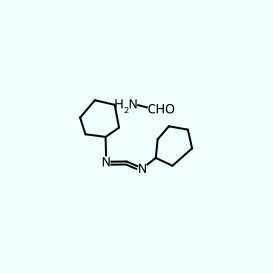 C(=NC1CCCCC1)=NC1CCCCC1.NC=O